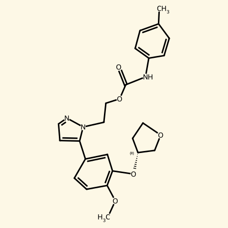 COc1ccc(-c2ccnn2CCOC(=O)Nc2ccc(C)cc2)cc1O[C@@H]1CCOC1